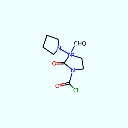 O=C[N+]1(N2CCCC2)CCN(C(=O)Cl)C1=O